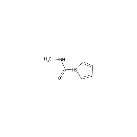 CNC(=O)[SH]1C=CC=C1